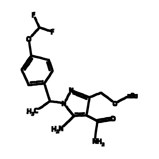 CCCCOCc1nn(C(C)c2ccc(OC(F)F)cc2)c(N)c1C(N)=O